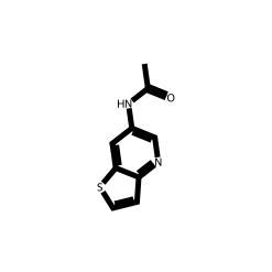 CC(=O)Nc1cnc2ccsc2c1